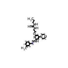 CCCNC(=N)NCCOc1cc(N2CCOCC2)cc(N/N=C/c2cccc(C)c2)n1